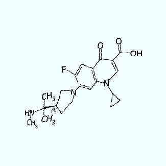 CNC(C)(C)[C@@H]1CCN(c2cc3c(cc2F)c(=O)c(C(=O)O)cn3C2CC2)C1